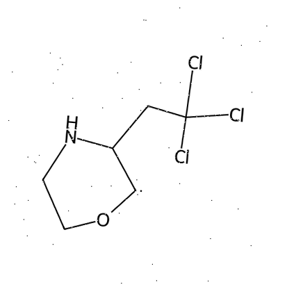 ClC(Cl)(Cl)CC1[CH]OCCN1